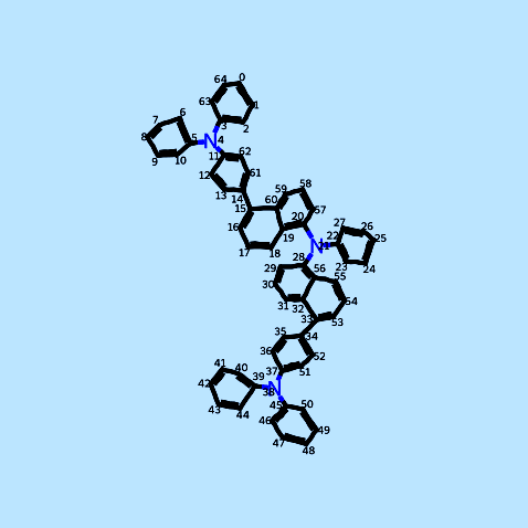 c1ccc(N(c2ccccc2)c2ccc(-c3cccc4c(N(c5ccccc5)c5cccc6c(-c7ccc(N(c8ccccc8)c8ccccc8)cc7)cccc56)cccc34)cc2)cc1